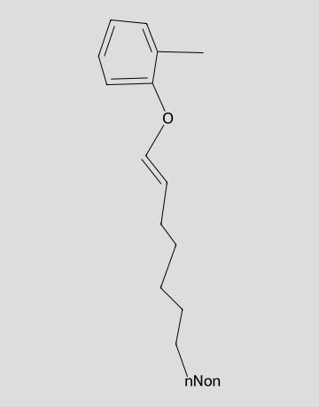 CCCCCCCCCCCCCCC=COc1ccccc1C